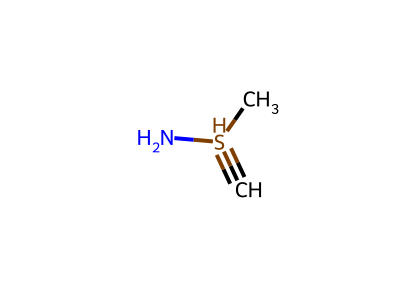 C#[SH](C)N